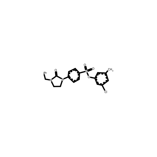 Cc1cc(Cl)cc(OS(=O)(=O)c2ccc(N3CCN(CC(C)C)C3=O)cc2)c1